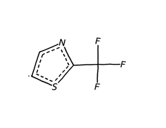 FC(F)(F)c1nc[c]s1